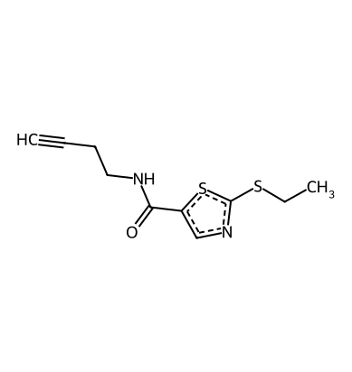 C#CCCNC(=O)c1cnc(SCC)s1